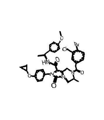 COc1ccc(C(C)NC(=O)c2c3n(c(=O)n2-c2ccc(OC4CC4)cc2)CC(C)N(C(=O)c2ccc(Br)c(Cl)c2)C3)cc1